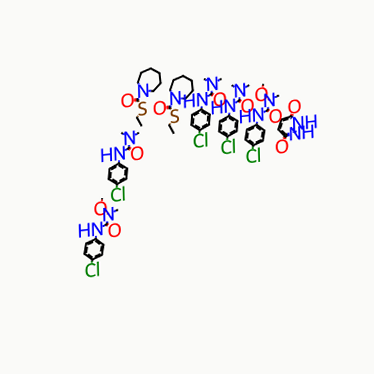 CCSC(=O)N1CCCCCC1.CCSC(=O)N1CCCCCC1.CN(C)C(=O)Nc1ccc(Cl)cc1.CN(C)C(=O)Nc1ccc(Cl)cc1.CN(C)C(=O)Nc1ccc(Cl)cc1.CON(C)C(=O)Nc1ccc(Cl)cc1.CON(C)C(=O)Nc1ccc(Cl)cc1.O=c1ccc(=O)[nH][nH]1